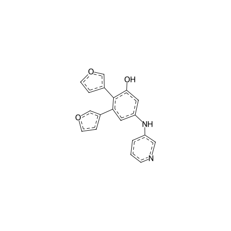 Oc1cc(Nc2cccnc2)cc(-c2ccoc2)c1-c1ccoc1